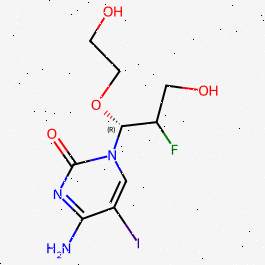 Nc1nc(=O)n([C@H](OCCO)C(F)CO)cc1I